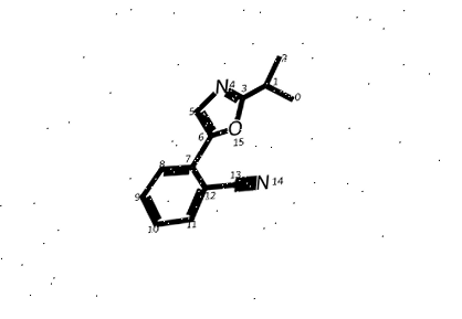 CC(C)c1ncc(-c2ccccc2C#N)o1